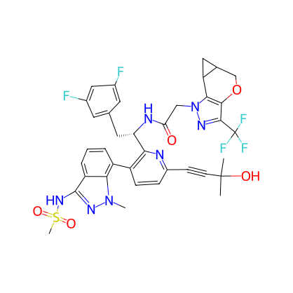 Cn1nc(NS(C)(=O)=O)c2cccc(-c3ccc(C#CC(C)(C)O)nc3[C@H](Cc3cc(F)cc(F)c3)NC(=O)Cn3nc(C(F)(F)F)c4c3C3CC3CO4)c21